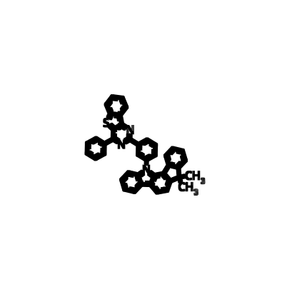 CC1(C)c2ccccc2-c2c1ccc1c3ccccc3n(-c3cccc(-c4nc(-c5ccccc5)c5sc6ccccc6c5n4)c3)c21